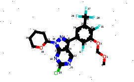 COCOc1c(F)c(-c2nn(C3CCCCO3)c3nc(Cl)ncc23)cc(C(F)(F)F)c1F